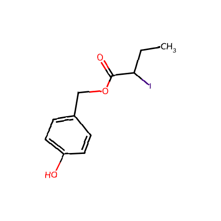 CCC(I)C(=O)OCc1ccc(O)cc1